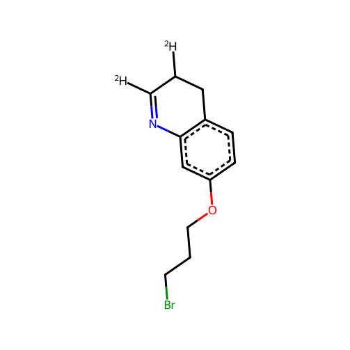 [2H]C1=Nc2cc(OCCCBr)ccc2CC1[2H]